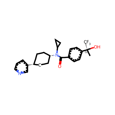 C[C@](O)(c1ccc(C(=O)N(C2CC2)[C@H]2CC[C@@H](c3cccnc3)CC2)cc1)C(F)(F)F